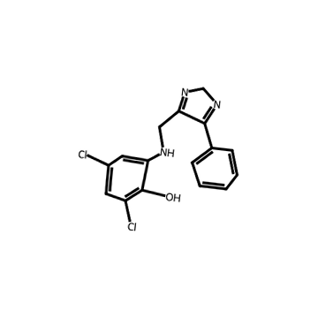 Oc1c(Cl)cc(Cl)cc1NCC1=NCN=C1c1ccccc1